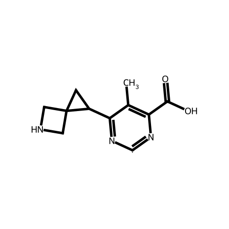 Cc1c(C(=O)O)n[c]nc1C1CC12CNC2